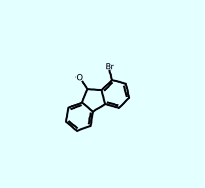 [O]C1c2ccccc2-c2cccc(Br)c21